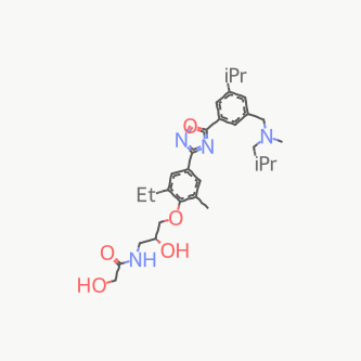 CCc1cc(-c2noc(-c3cc(CN(C)CC(C)C)cc(C(C)C)c3)n2)cc(C)c1OC[C@@H](O)CNC(=O)CO